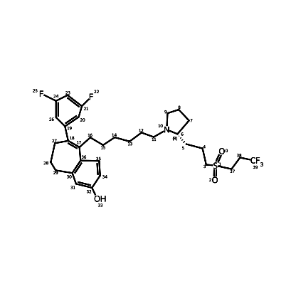 O=S(=O)(CCC[C@H]1CCCN1CCCCCCC1=C(c2cc(F)cc(F)c2)CCCc2cc(O)ccc21)CCC(F)(F)F